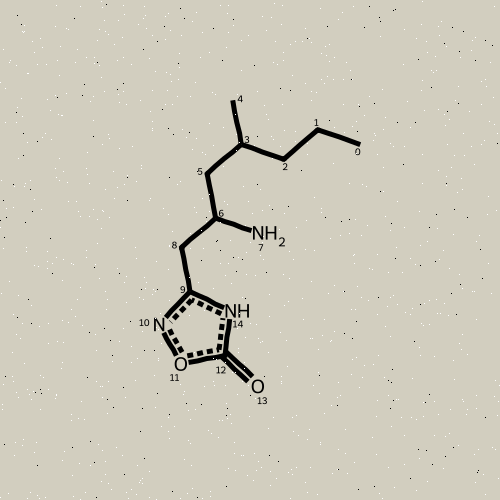 CCCC(C)CC(N)Cc1noc(=O)[nH]1